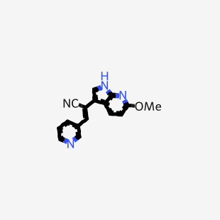 COc1ccc2c(C(C#N)=Cc3cccnc3)c[nH]c2n1